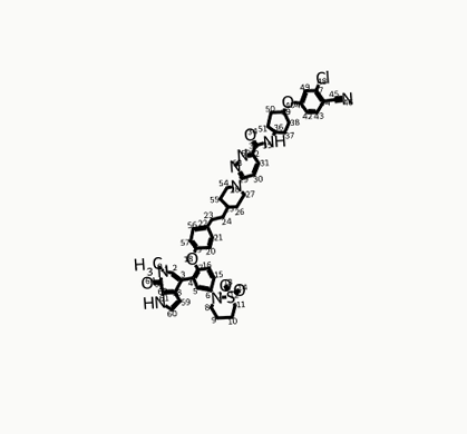 Cn1cc(-c2cc(N3CCCCS3(=O)=O)ccc2Oc2ccc(CCC3CCN(c4ccc(C(=O)NC5CCC(Oc6ccc(C#N)c(Cl)c6)CC5)nn4)CC3)cc2)c2cc[nH]c2c1=O